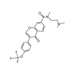 CN(C)CCN(C)C(=O)c1ccc2c(=O)c(-c3ccc(OC(F)(F)F)cc3)coc2c1